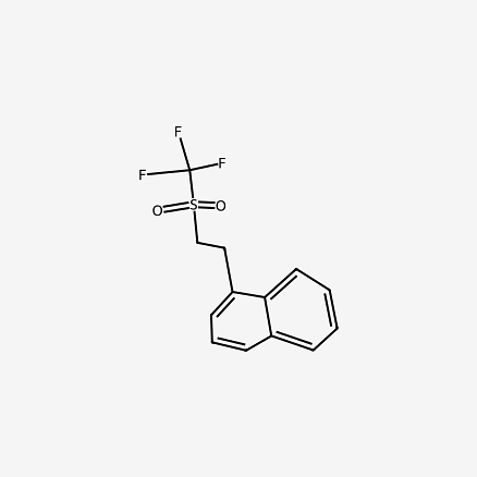 O=S(=O)(CCc1cccc2ccccc12)C(F)(F)F